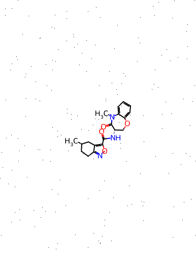 CC1CCc2noc(C(=O)N[C@H]3COc4ccccc4N(C)C3=O)c2C1